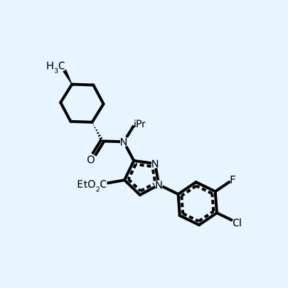 CCOC(=O)c1cn(-c2ccc(Cl)c(F)c2)nc1N(C(=O)[C@H]1CC[C@H](C)CC1)C(C)C